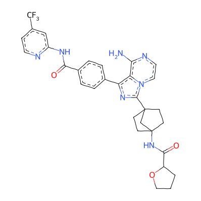 Nc1nccn2c(C34CCC(NC(=O)C5CCCO5)(CC3)C4)nc(-c3ccc(C(=O)Nc4cc(C(F)(F)F)ccn4)cc3)c12